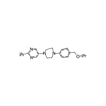 CC(C)OCc1ccc(N2CCN(c3cnc(C(C)C)nc3)CC2)cc1